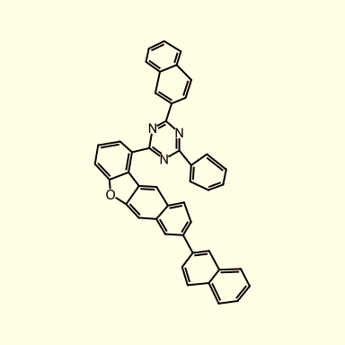 c1ccc(-c2nc(-c3ccc4ccccc4c3)nc(-c3cccc4oc5cc6cc(-c7ccc8ccccc8c7)ccc6cc5c34)n2)cc1